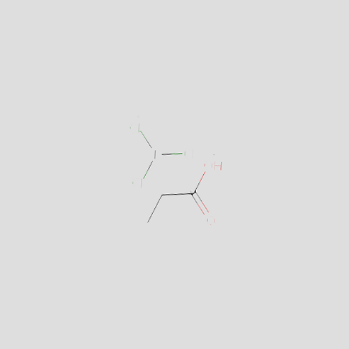 CCC(=O)O.[Cl][Ti]([Cl])[Cl]